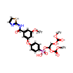 CC(C)OC(=O)OCC(OC(=O)OC(C)C)OP(=O)(O)c1ccc(Oc2cc(OC(C)C)cc(C(=O)Nc3nccs3)c2)cc1